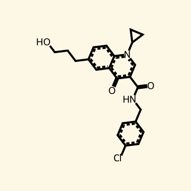 O=C(NCc1ccc(Cl)cc1)c1cn(C2CC2)c2ccc(CCCO)cc2c1=O